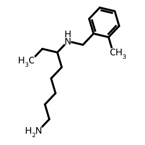 CCC(CCCCCN)NCc1ccccc1C